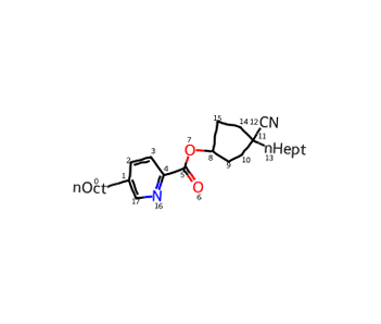 CCCCCCCCc1ccc(C(=O)OC2CCC(C#N)(CCCCCCC)CC2)nc1